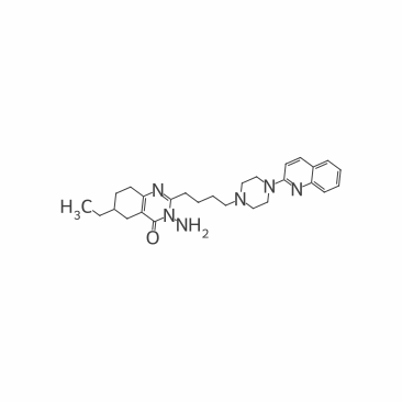 CCC1CCc2nc(CCCCN3CCN(c4ccc5ccccc5n4)CC3)n(N)c(=O)c2C1